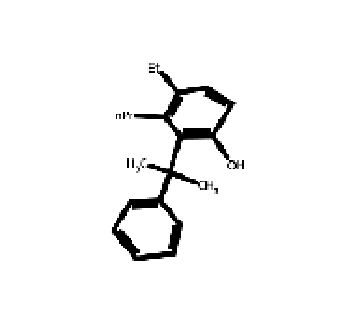 CCCc1c(CC)ccc(O)c1C(C)(C)c1ccccc1